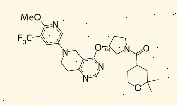 COc1ncc(N2CCc3ncnc(O[C@H]4CCN(C(=O)C5CCOC(C)(C)C5)C4)c3C2)cc1C(F)(F)F